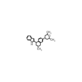 CC1CN(c2ccc3c(c2)CN(C)CC3c2cc3ccccc3[nH]2)CC(C)O1